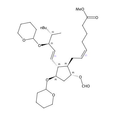 CCCC[C@H](C)[C@@H](/C=C/[C@@H]1[C@@H](C/C=C\CCCC(=O)OC)[C@H](OC=O)C[C@H]1OC1CCCCO1)OC1CCCCO1